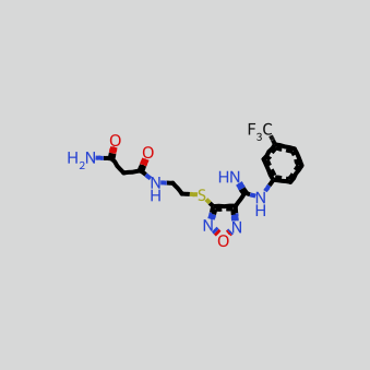 N=C(Nc1cccc(C(F)(F)F)c1)c1nonc1SCCNC(=O)CC(N)=O